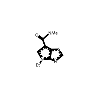 CCn1cc(C(=O)NC)c2scnc21